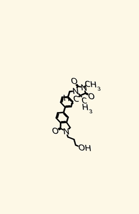 CN1C(=O)N(Cc2ccc(-c3ccc4c(c3)CN(CCCO)C4=O)cc2)C(C)(C)C1=O